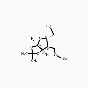 CCCCOC[C@H]1[C@H]2OC(C)(C)O[C@H]2O[C@@H]1CO